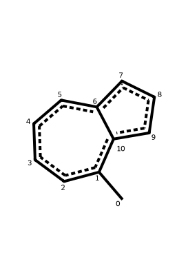 Cc1ccccc2[c]ccc1-2